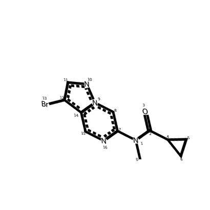 CN(C(=O)C1CC1)c1cn2ncc(Br)c2cn1